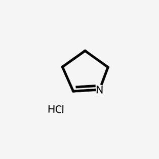 C1=NCCC1.Cl